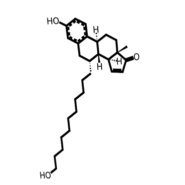 C[C@]12CC[C@@H]3c4ccc(O)cc4C[C@@H](CCCCCCCCCCCO)[C@H]3[C@@H]1C=CC2=O